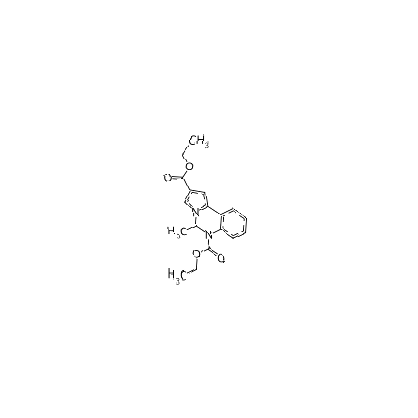 CCOC(=O)c1cc2n(c1)C(C)N(C(=O)OCC)c1ccccc1-2